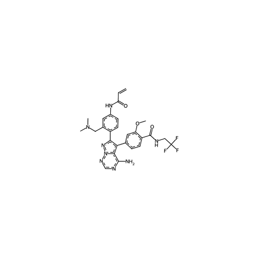 C=CC(=O)Nc1ccc(-c2nn3ncnc(N)c3c2-c2ccc(C(=O)NCC(F)(F)F)c(OC)c2)c(CN(C)C)c1